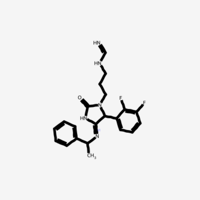 CC(/N=C1\NC(=O)N(CCCNC=N)C1c1cccc(F)c1F)c1ccccc1